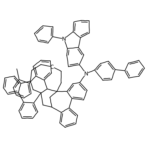 Cc1ccccc1-c1ccccc1C1C23CCCCCC4CC1(CC(C2)c1ccccc1-c1ccc(N(c2ccc(-c5ccccc5)cc2)c2ccc5c(c2)c2ccccc2n5-c2ccccc2)cc13)c1ccccc1-c1ccccc14